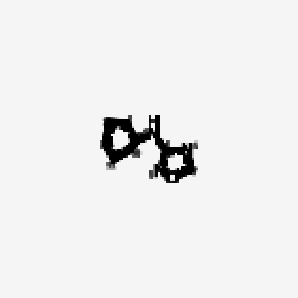 c1ccc(Nc2ncon2)cc1